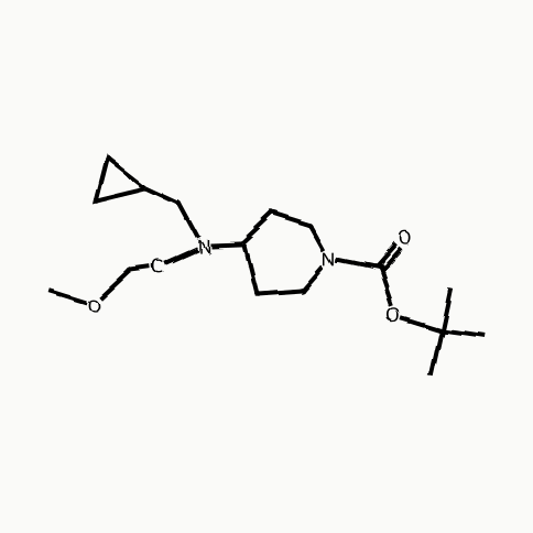 COCCN(CC1CC1)C1CCN(C(=O)OC(C)(C)C)CC1